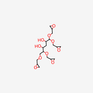 OC(CC(O)C(OCC1CO1)OCC1CO1)C(COCC1CO1)OCC1CO1